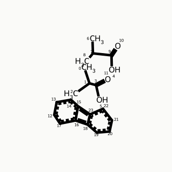 CC(C)C(=O)O.CC(C)C(=O)O.c1ccc2c(c1)=c1ccccc1=2